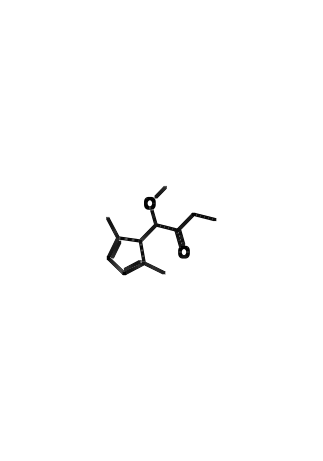 CCC(=O)C(OC)C1C(C)=CC=C1C